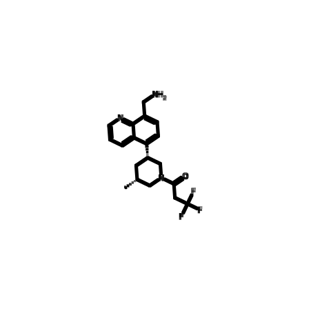 C[C@@H]1C[C@H](c2ccc(CN)c3ncccc23)CN(C(=O)CC(F)(F)F)C1